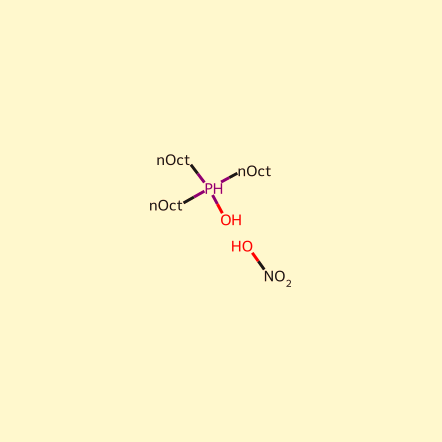 CCCCCCCC[PH](O)(CCCCCCCC)CCCCCCCC.O=[N+]([O-])O